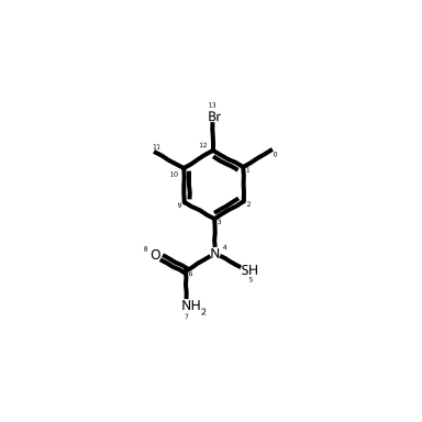 Cc1cc(N(S)C(N)=O)cc(C)c1Br